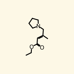 CCOC(=O)C=C(C)CN1CCCC1